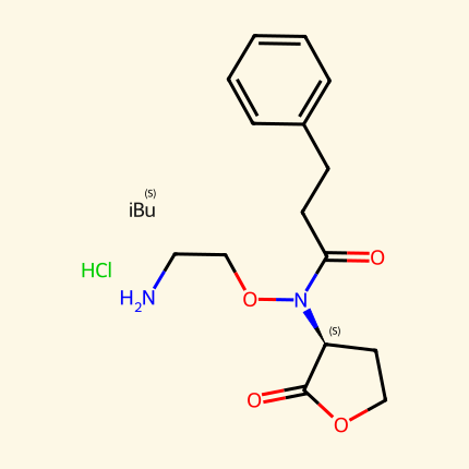 CC[C@H](C)C(N)CON(C(=O)CCc1ccccc1)[C@H]1CCOC1=O.Cl